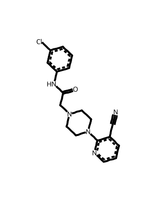 N#Cc1cccnc1N1CCN(CC(=O)Nc2cccc(Cl)c2)CC1